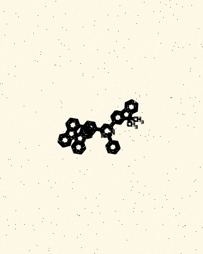 CC1(C)c2ccccc2-c2ccc(-c3cc(-c4ccc(-c5cccc6c5C5(c7ccccc7-c7ccccc75)c5ccccc5-6)cc4)nc(-c4ccccc4)n3)cc21